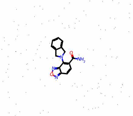 NC(=O)c1ccc2nonc2c1N1Cc2ccccc2C1